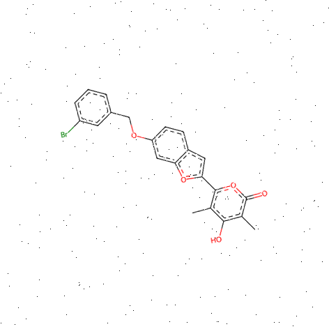 Cc1c(-c2cc3ccc(OCc4cccc(Br)c4)cc3o2)oc(=O)c(C)c1O